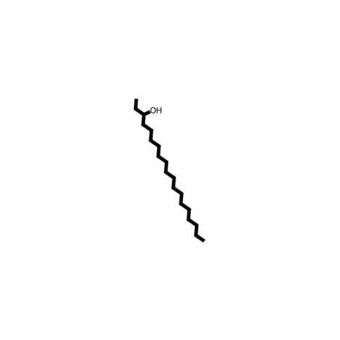 CCCCCCCCCCCCCCCC[C](O)CC